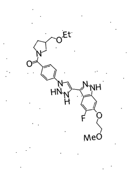 CCOCC1CCN(C(=O)c2ccc(N3C=C(c4n[nH]c5cc(OCCOC)c(F)cc45)NN3)cc2)C1